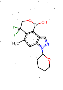 Cc1cc2c(cnn2C2CCCCO2)c2c1C(F)(F)COB2O